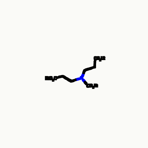 CCOC(=O)CCN(CCC(=O)OCC)C(=O)OCC